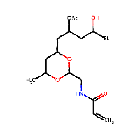 C=CC(=O)NCC1OC(C)CC(CC(CC(O)CC)OC(C)=O)O1